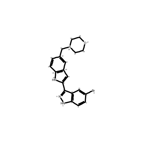 Brc1ccc2[nH]nc(-c3cc4cc(CN5CCOCC5)ccc4[nH]3)c2c1